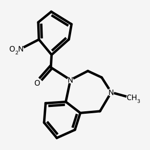 CN1CCN(C(=O)c2ccccc2[N+](=O)[O-])c2ccccc2C1